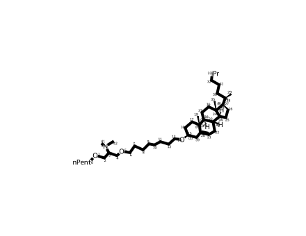 CCCCCOCC(COCCCCCCCCO[C@H]1CC[C@@]2(C)C(=CC[C@H]3[C@@H]4CC[C@H]([C@H](C)CCCC(C)C)[C@@]4(C)CC[C@@H]32)C1)N(C)C